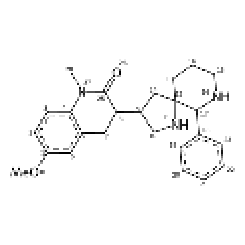 COc1ccc2c(c1)CC(C1CNC3(CCCNC3c3ccccc3)C1)C(=O)N2C